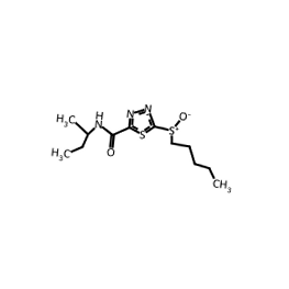 CCCCC[S+]([O-])c1nnc(C(=O)NC(C)CC)s1